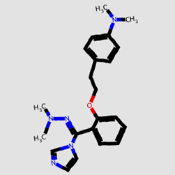 CN(C)/N=C(/c1ccccc1OCCc1ccc(N(C)C)cc1)n1ccnc1